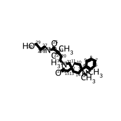 CN(C)[C@]1(c2ccccc2)CC[C@@]2(CC1)CC(=O)N(CCC(C)(C)C(=O)NCCCO)C2